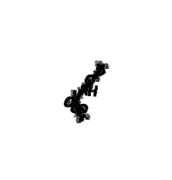 CC(C)CC(=O)OCC(=O)N(C)CCNCCOCCOC(C)C